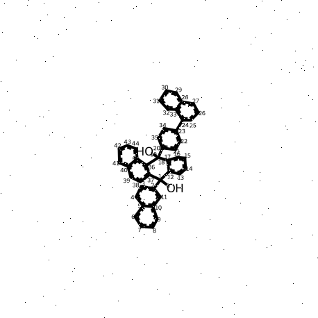 OC1(c2ccc3ccccc3c2)c2ccccc2C(O)(c2ccc(-c3cccc4ccccc34)cc2)c2c1ccc1ccccc21